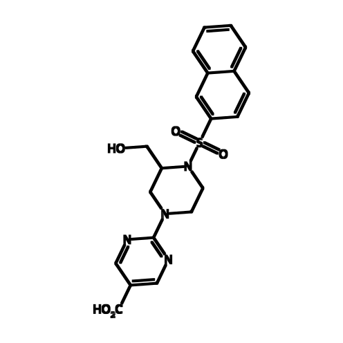 O=C(O)c1cnc(N2CCN(S(=O)(=O)c3ccc4ccccc4c3)C(CO)C2)nc1